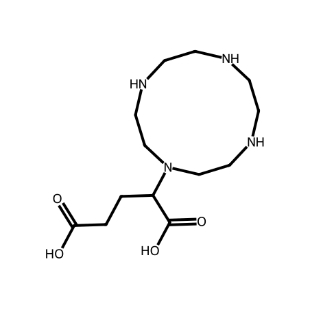 O=C(O)CCC(C(=O)O)N1CCNCCNCCNCC1